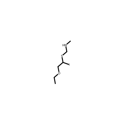 CCOCC(I)SCNC